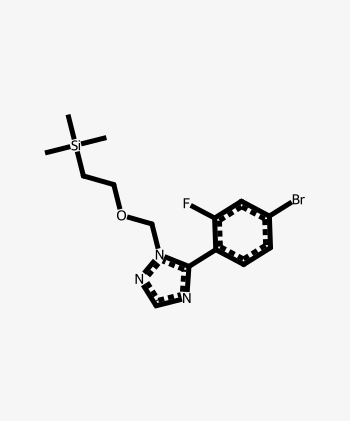 C[Si](C)(C)CCOCn1ncnc1-c1ccc(Br)cc1F